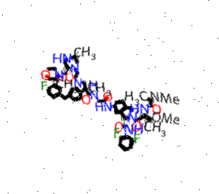 CN[C@@H](C)C(=O)N[C@H](C(=O)N1Cc2ccc(NC(=O)CNC(=O)[C@]3(C)CN(C(O)CN4C[C@@H](C)NC[C@@H]4CN4CCOC[C@H]4C)c4cc(Cc5ccc(F)cc5)ccc43)cc2[C@H]1C(=O)Nc1c(F)cccc1F)[C@@H](C)OC